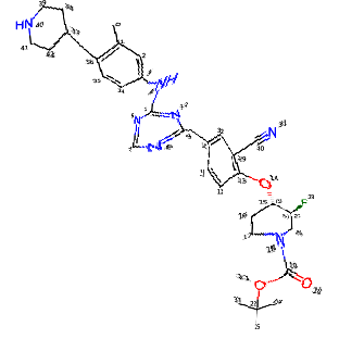 Cc1cc(Nc2ncnc(-c3ccc(O[C@H]4CCN(C(=O)OC(C)(C)C)C[C@@H]4F)c(C#N)c3)n2)ccc1C1CCNCC1